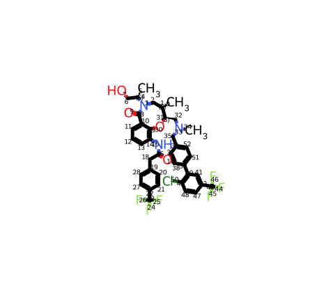 C[C@@H]1CN([C@@H](C)CO)C(=O)c2cccc(NC(=O)Cc3ccc(C(F)(F)F)cc3)c2O[C@@H]1CN(C)Cc1ccc(-c2cc(C(F)(F)F)ccc2Cl)cc1